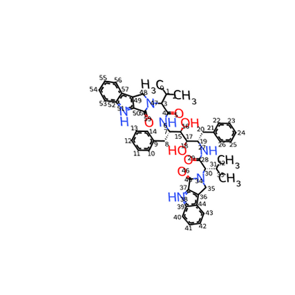 CC(C)C(C(=O)N[C@@H](Cc1ccccc1)[C@@H](O)[C@H](O)[C@H](Cc1ccccc1)NC(=O)[C@H](C(C)C)N1Cc2c([nH]c3ccccc23)C1=O)N1Cc2c([nH]c3ccccc23)C1=O